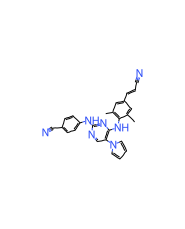 Cc1cc(/C=C/C#N)cc(C)c1Nc1nc(Nc2ccc(C#N)cc2)ncc1-n1cccc1